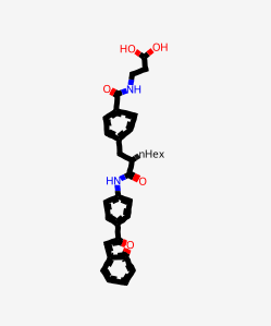 CCCCCCC(Cc1ccc(C(=O)NCCC(O)O)cc1)C(=O)Nc1ccc(-c2cc3ccccc3o2)cc1